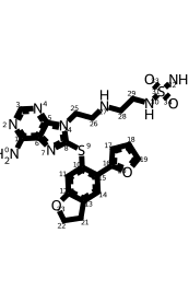 Nc1ncnc2c1nc(Sc1cc3c(cc1-c1ccco1)CCO3)n2CCNCCNS(N)(=O)=O